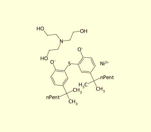 CCCCCC(C)(C)c1ccc([O-])c(Sc2cc(C(C)(C)CCCCC)ccc2[O-])c1.OCCN(CCO)CCO.[Ni+2]